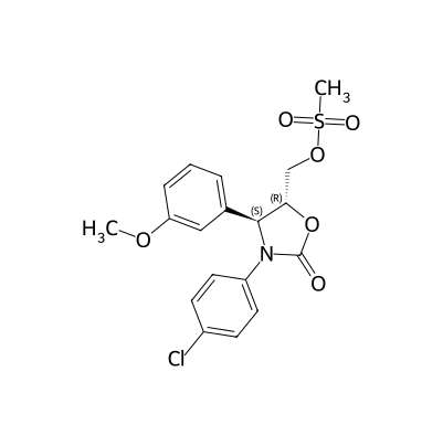 COc1cccc([C@H]2[C@H](COS(C)(=O)=O)OC(=O)N2c2ccc(Cl)cc2)c1